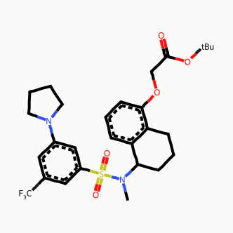 CN(C1CCCc2c(OCC(=O)OC(C)(C)C)cccc21)S(=O)(=O)c1cc(N2CCCC2)cc(C(F)(F)F)c1